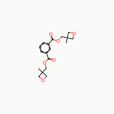 CC1(COC(=O)c2cccc(C(=O)OCC3(C)COC3)c2)COC1